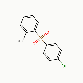 O=Cc1ccccc1S(=O)(=O)c1ccc(Br)cc1